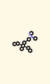 c1ccc(N(c2ccc(-c3ccc4c(-c5ccc6ccccc6c5)c5ccccc5c(-c5ccc6ccccc6c5)c4c3)cc2)c2ccccn2)cc1